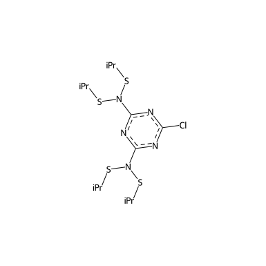 CC(C)SN(SC(C)C)c1nc(Cl)nc(N(SC(C)C)SC(C)C)n1